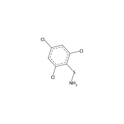 NSc1c(Cl)cc(Cl)cc1Cl